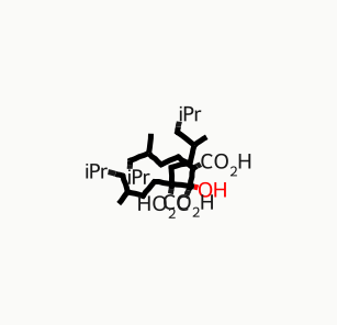 CC(C)CC(C)CCC(C(=O)O)C(O)(C(=O)O)C(CCC(C)CC(C)C)(CCC(C)CC(C)C)C(=O)O